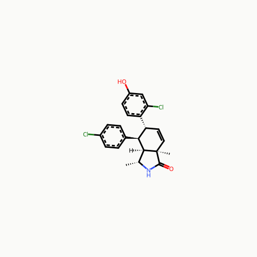 C[C@H]1NC(=O)[C@]2(C)C=C[C@@H](c3ccc(O)cc3Cl)[C@H](c3ccc(Cl)cc3)[C@H]12